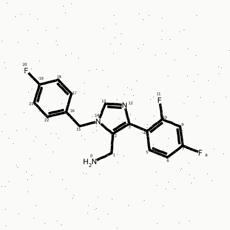 NCc1c(-c2ccc(F)cc2F)ncn1Cc1ccc(F)cc1